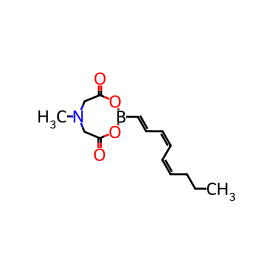 CCC\C=C/C=C\C=C\B1OC(=O)CN(C)CC(=O)O1